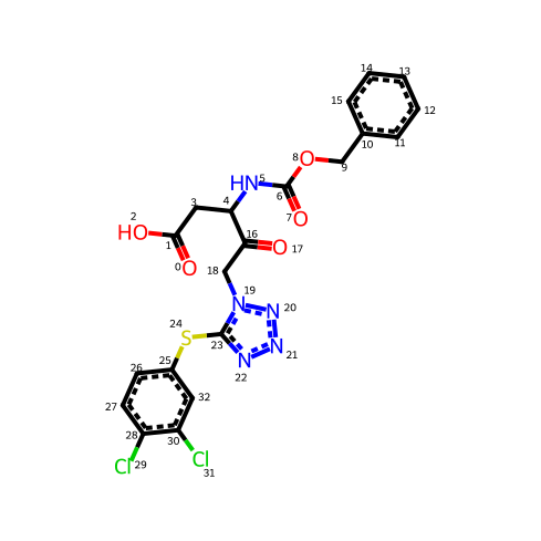 O=C(O)CC(NC(=O)OCc1ccccc1)C(=O)Cn1nnnc1Sc1ccc(Cl)c(Cl)c1